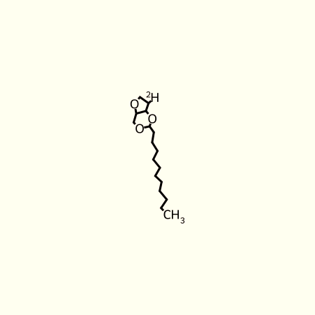 [2H]C1COC2COC(CCCCCCCCCCC)OC12